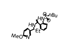 C=C(N[C@H](CC)c1ccc(OC)nc1)c1ccccc1NS(=O)(=O)CCCC